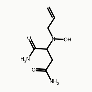 C=CCN(O)C(CC(N)=O)C(N)=O